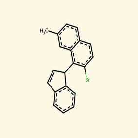 Cc1ccc2ccc(Br)c(C3C=Cc4ccccc43)c2c1